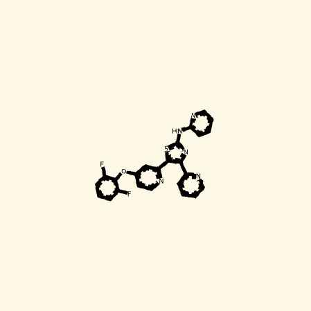 Fc1cccc(F)c1Oc1ccnc(-c2sc(Nc3ccccn3)nc2-c2ccccn2)c1